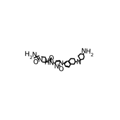 CN(C1CCC(N)CC1)C1CCc2cc(-n3ccc(NC(=O)N4CCN(C(=O)C(C)(C)N)CC4)nc3=O)ccc2C1